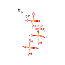 O.O.O=P([O-])(O)O.O=P([O-])(O)O.O=P([O-])(O)O.[H+].[H+].[Na+]